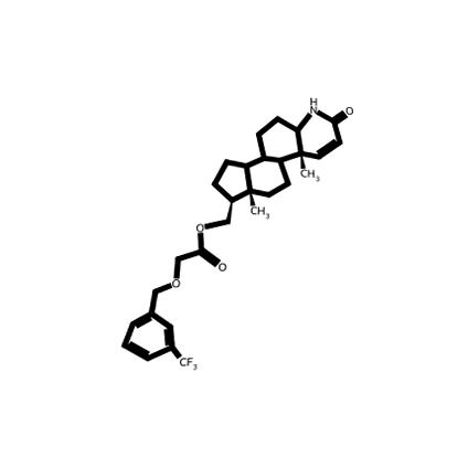 C[C@]12C=CC(=O)NC1CCC1C2CC[C@@]2(C)C1CC[C@@H]2COC(=O)COCc1cccc(C(F)(F)F)c1